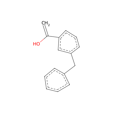 C=C(O)c1cccc(Cc2ccccc2)c1